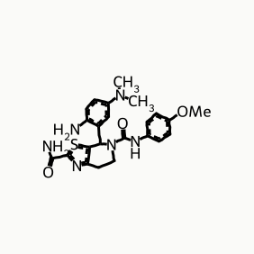 COc1ccc(NC(=O)N2CCc3nc(C(N)=O)sc3C2c2cc(N(C)C)ccc2N)cc1